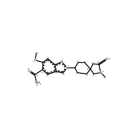 COc1cc2nn(C3CCC4(CC3)CC(=O)N(C)C4)cc2cc1C(N)=O